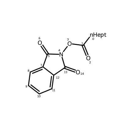 CCCCCCCC(=O)ON1C(=O)c2ccccc2C1=O